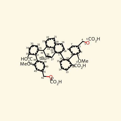 COc1cc(COC(=O)O)ccc1-c1c(C(=O)O)cccc1-c1ccc2cccc3c2c1C=C(C(C)(C)C)C3c1cccc(C(=O)O)c1-c1ccc(COC(=O)O)cc1OC